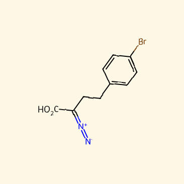 [N-]=[N+]=C(CCc1ccc(Br)cc1)C(=O)O